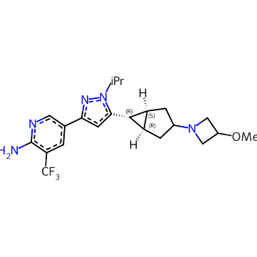 COC1CN(C2C[C@@H]3[C@H](C2)[C@H]3c2cc(-c3cnc(N)c(C(F)(F)F)c3)nn2C(C)C)C1